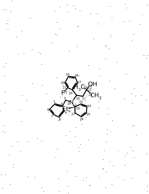 CC[C@@]1(N(Cc2ccccc2)C(CC(C)(C)O)c2ccccc2F)C=CC=CC1